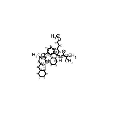 CNCC(CC1CCCCC1)NC(=O)N1CCC[C@@H](C(CCCCOC)(NC(=O)C(C)C)c2cccc(Cl)c2)C1